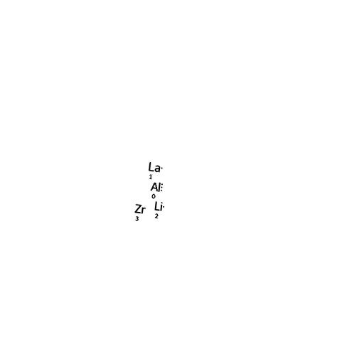 [Al].[La].[Li].[Zr]